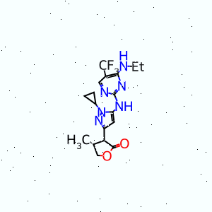 CCNc1nc(Nc2cc(C3C(=O)OC[C@@H]3C)nn2C2CC2)ncc1C(F)(F)F